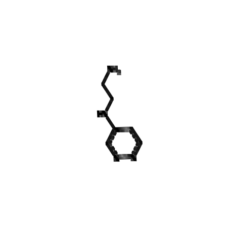 NCCNc1ccnnc1